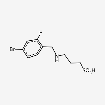 O=S(=O)(O)CCCNCc1ccc(Br)cc1F